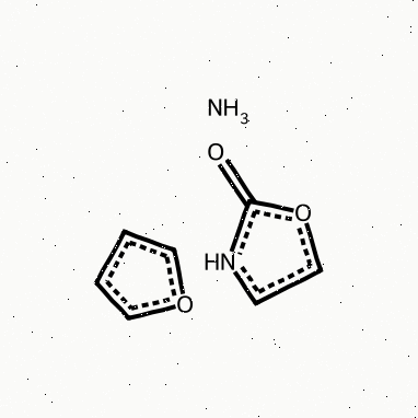 N.O=c1[nH]cco1.c1ccoc1